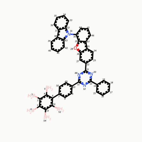 Bc1c(B)c(B)c(-c2ccc(-c3nc(-c4ccccc4)nc(-c4ccc5c(c4)oc4c(-n6c7ccccc7c7ccccc76)cccc45)n3)cc2)c(B)c1B